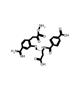 N=C(N)c1ccc(CC(=O)C(=O)ON)c(OC[C@@H](CC(=O)O)NC(=O)c2ccc(C(=O)O)cc2)c1